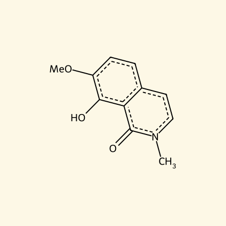 COc1ccc2ccn(C)c(=O)c2c1O